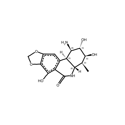 C[C@@H]1[C@H](O)[C@@H](O)[C@H](N)[C@@H]2c3cc4c(c(O)c3C(=O)N[C@@H]12)OCO4